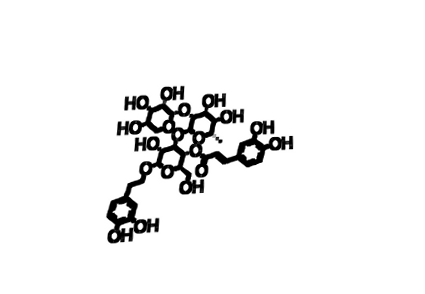 C[C@@H]1O[C@@H](O[C@@H]2[C@@H](O)[C@H](OCCc3ccc(O)c(O)c3)O[C@H](CO)[C@H]2OC(=O)/C=C/c2ccc(O)c(O)c2)[C@H](O[C@@H]2OC[C@@H](O)[C@@H](O)[C@@H]2O)[C@H](O)[C@H]1O